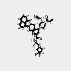 C=CC(=O)N1CCN(c2cc(C(=O)N[C@H](C)CN3CCC(F)(F)C3)nc3c2CCN(c2cccc4cccc(C)c24)C3)C[C@@H]1CC#N